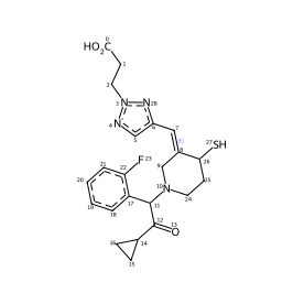 O=C(O)CCn1ncc(/C=C2\CN(C(C(=O)C3CC3)c3ccccc3F)CCC2S)n1